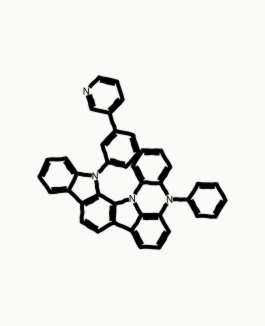 c1ccc(N2c3ccccc3-n3c4c2cccc4c2ccc4c5ccccc5n(-c5cccc(-c6cccnc6)c5)c4c23)cc1